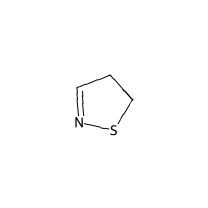 C1=NSCC1